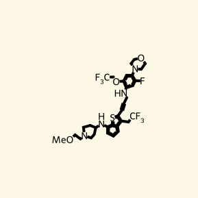 COCCN1CCC(Nc2cccc3c(CC(F)(F)F)c(C#CCNc4cc(F)c(N5CCOCC5)cc4OCC(F)(F)F)sc23)CC1